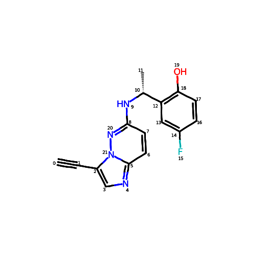 C#Cc1cnc2ccc(N[C@H](C)c3cc(F)ccc3O)nn12